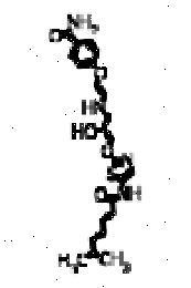 CC(C)CCCCC(=O)Nc1cnc(OCC(O)CNCCOc2ccc(C(N)=O)cc2)s1